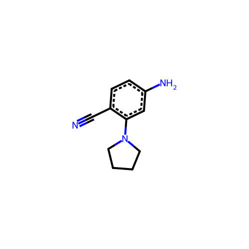 N#Cc1ccc(N)cc1N1CCCC1